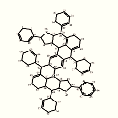 C1=CCCC(C2CC3C4C5=CC6C(C=C5C(C5CC=CCC5)C5=CCCC(=C54)[C@H](C4=CC=CCC4)C3S2)B2C3CC(c4ccccc4)SC3C(C3C=CCCC3)C3CCC=C(C23)C6C2C=CCCC2)=C1